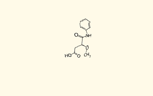 COC(CC(=O)O)C(=O)Nc1ccccc1